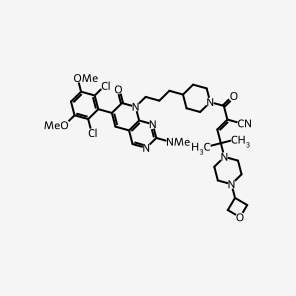 CNc1ncc2cc(-c3c(Cl)c(OC)cc(OC)c3Cl)c(=O)n(CCCC3CCN(C(=O)C(C#N)=CC(C)(C)N4CCN(C5COC5)CC4)CC3)c2n1